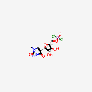 Cn1cc([C@@H]2O[C@H](COP(=O)(Cl)Cl)C(O)[C@@H]2O)c(=O)[nH]c1=O